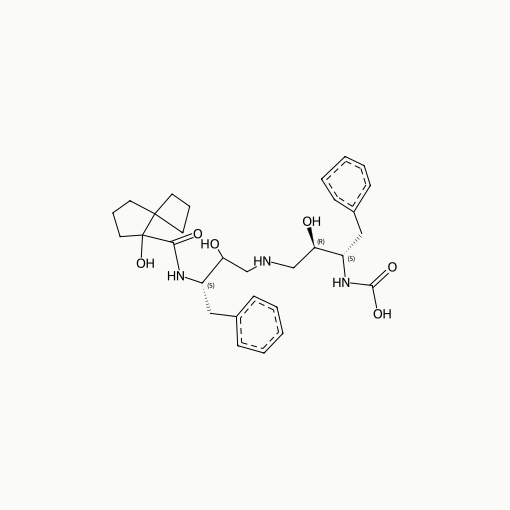 O=C(O)N[C@@H](Cc1ccccc1)[C@H](O)CNCC(O)[C@H](Cc1ccccc1)NC(=O)C1(O)CCCC12CCC2